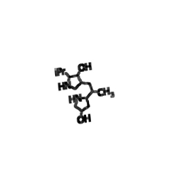 CC(C)C1NCC(CC(C)C2CC(O)CN2)C1O